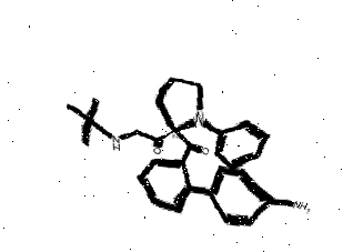 CC(C)(C)NCC(=O)[C@@]1(C(=O)c2ccccc2-c2ccc(N)cc2)CCCN1c1ccccc1